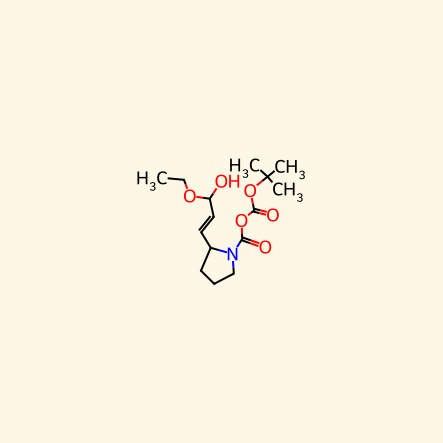 CCOC(O)C=CC1CCCN1C(=O)OC(=O)OC(C)(C)C